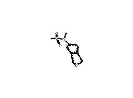 CN(c1ccc2cocc2c1)S(C)(=O)=O